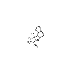 CC(C)C1=Nc2ccc3ccccc3c2C1(C)C